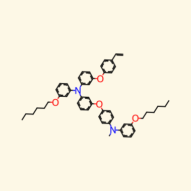 C=Cc1ccc(Oc2cccc(N(c3cccc(OCCCCCC)c3)c3cccc(Oc4ccc(N(C)c5cccc(OCCCCCC)c5)cc4)c3)c2)cc1